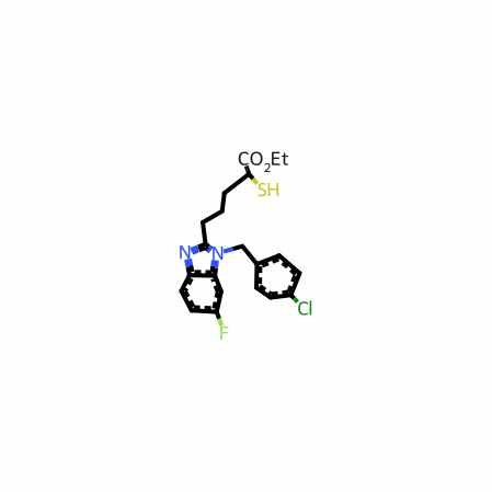 CCOC(=O)C(S)CCCc1nc2ccc(F)cc2n1Cc1ccc(Cl)cc1